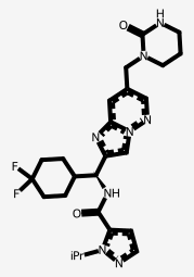 CC(C)n1nccc1C(=O)N[C@H](c1cn2ncc(CN3CCCNC3=O)cc2n1)C1CCC(F)(F)CC1